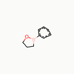 c1ccc(B2CCCO2)cc1